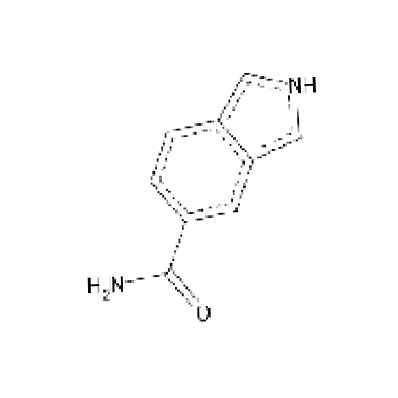 NC(=O)c1ccc2c[nH]cc2c1